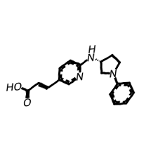 O=C(O)C=Cc1ccc(N[C@@H]2CCN(c3ccccc3)C2)nc1